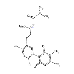 CO/C(=C\C(=O)N(C)C)CSc1cc(-n2c(=O)cc(C(F)(F)F)n(C)c2=O)c(Cl)cc1Cl